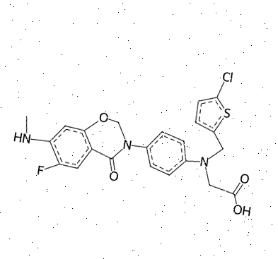 CNc1cc2c(cc1F)C(=O)N(c1ccc(N(CC(=O)O)Cc3ccc(Cl)s3)cc1)CO2